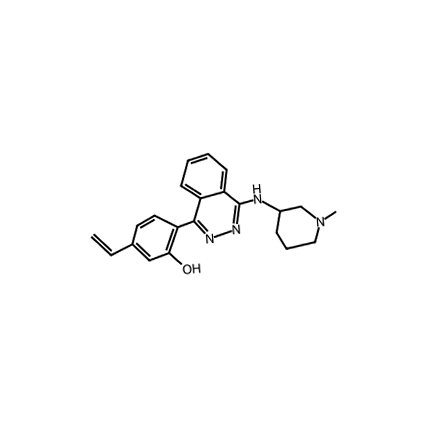 C=Cc1ccc(-c2nnc(NC3CCCN(C)C3)c3ccccc23)c(O)c1